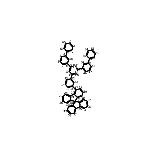 c1ccc(-c2cccc(-c3cc(-c4cccc(-c5cccc6c5-c5ccccc5C65c6ccccc6-c6ccccc65)c4)nc(-c4cccc(-c5ccccc5)c4)n3)c2)cc1